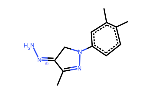 CC1=NN(c2ccc(C)c(C)c2)C/C1=N\N